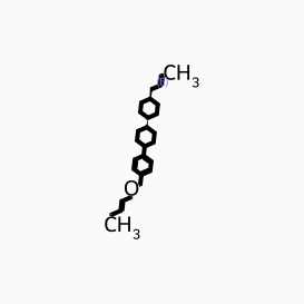 C/C=C/C[C@H]1CC[C@H](C2CCC(c3ccc(COCC=CCC)cc3)CC2)CC1